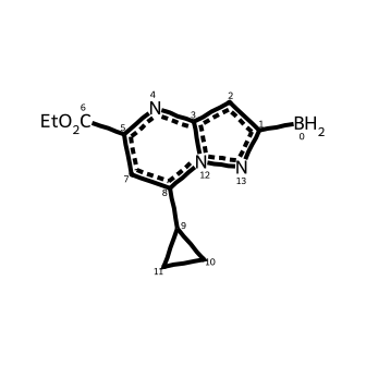 Bc1cc2nc(C(=O)OCC)cc(C3CC3)n2n1